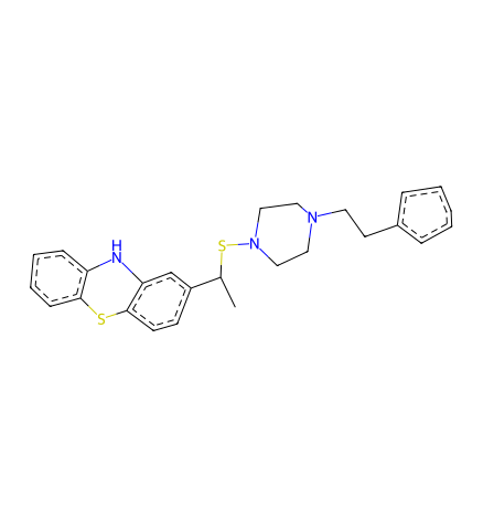 CC(SN1CCN(CCc2ccccc2)CC1)c1ccc2c(c1)Nc1ccccc1S2